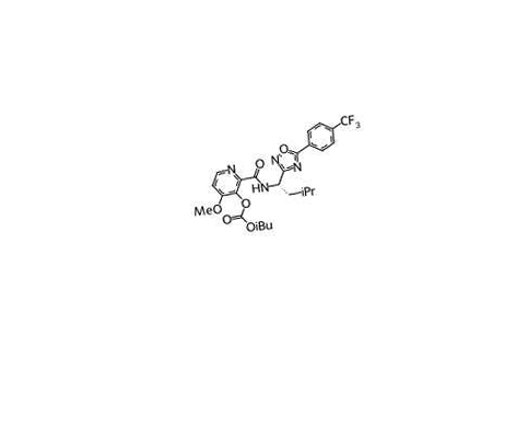 COc1ccnc(C(=O)N[C@@H](CC(C)C)c2noc(-c3ccc(C(F)(F)F)cc3)n2)c1OC(=O)OCC(C)C